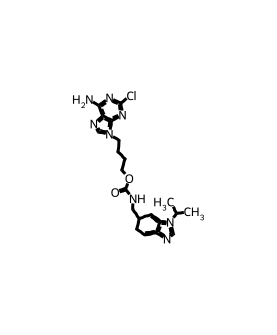 CC(C)n1cnc2c1=CC(CNC(=O)OCCCCn1cnc3c(N)nc(Cl)nc31)CC=2